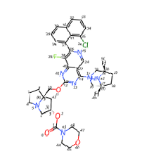 O=C(O[C@@H]1CN2CCC[C@]2(COc2nc(N3C[C@H]4CC[C@@H](C3)N4)c3cnc(-c4cccc5cccc(Cl)c45)c(F)c3n2)C1)N1CCOCC1